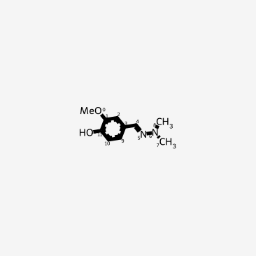 COc1cc(C=NN(C)C)ccc1O